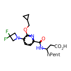 CCCCCC(CC(=O)O)NC(=O)c1ccc(N2CC(F)(F)C2)c(OCC2CC2)n1